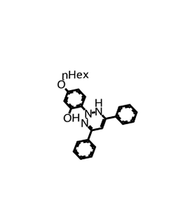 CCCCCCOc1ccc(N2N=C(c3ccccc3)C=C(c3ccccc3)N2)c(O)c1